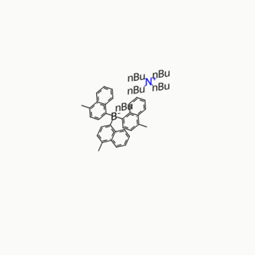 CCCC[B-](c1ccc(C)c2ccccc12)(c1ccc(C)c2ccccc12)c1ccc(C)c2ccccc12.CCCC[N+](CCCC)(CCCC)CCCC